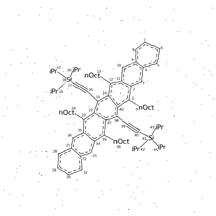 CCCCCCCCc1c2cc3ccccc3cc2c(CCCCCCCC)c2c(C#C[Si](C(C)C)(C(C)C)C(C)C)c3c(CCCCCCCC)c4cc5ccccc5cc4c(CCCCCCCC)c3c(C#C[Si](C(C)C)(C(C)C)C(C)C)c12